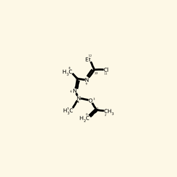 C=C(C)ON(C)/N=C(C)\N=C(\Cl)CC